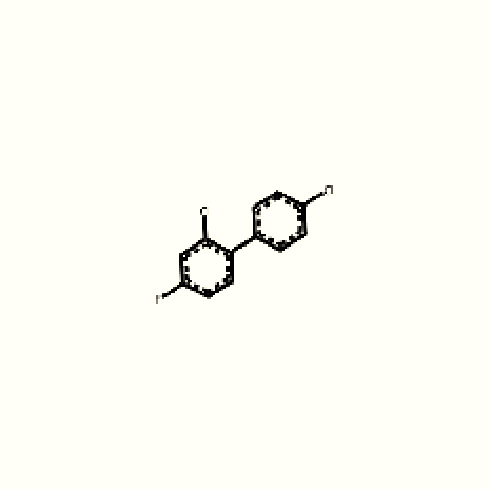 Fc1[c]c(Cl)c(-c2ccc(Cl)cc2)cc1